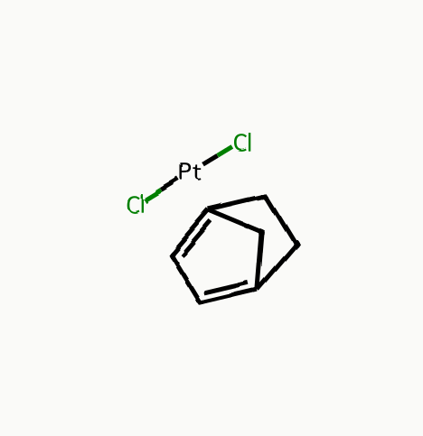 C1=C2CCC(=C1)C2.[Cl][Pt][Cl]